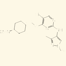 CN[C@H]1CC[C@H](COc2nc(Nc3cn(C(C)C)nc3C)ncc2Cl)CC1